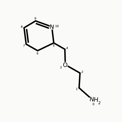 NCCOCC1CC=CC=N1